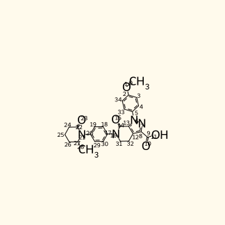 COc1ccc(-n2nc(C(=O)O)c3c2C(=O)N(c2ccc(N4C(=O)CCCC4C)cc2)CC3)cc1